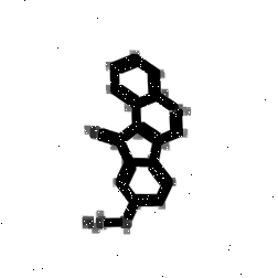 COc1ccc2c(c1)C(=O)c1c-2cnc2ccccc12